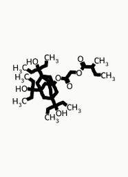 CCC(C)C(=O)OCC(=O)OC12CC3(C(O)(CC)CC)CC(C(O)(CC)CC)(C1)CC(C(O)(CC)CC)(C2)C3